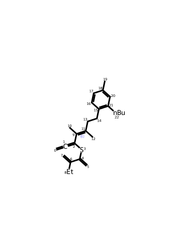 C=C=C(SC(=C)C(=C)CC)/C(C)=C(\C)CCc1ccc(C)cc1CCCC